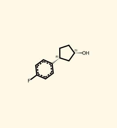 O[C@H]1CC[C@@H](c2ccc(F)cc2)C1